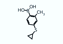 Cc1cc(SC2CC2)ccc1B(O)O